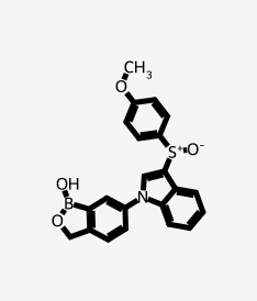 COc1ccc([S+]([O-])c2cn(-c3ccc4c(c3)B(O)OC4)c3ccccc23)cc1